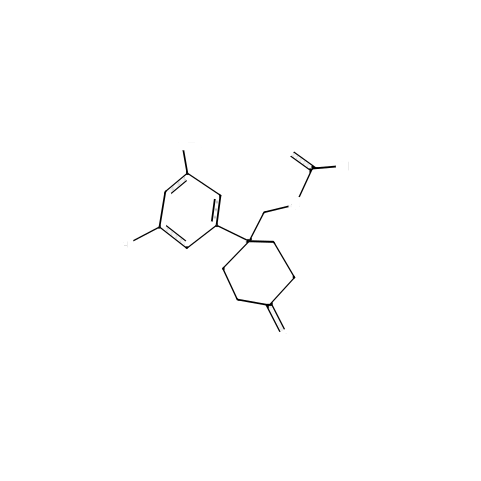 CC(=O)OCC1(c2cc(C)cc(Br)c2)CCC(=O)CC1